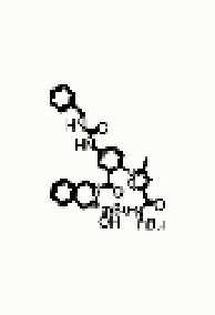 CCCCN(CCCC)C(=O)c1cc(C)n(-c2ccc(NC(=O)NCc3ccccc3)cc2C(=O)N2Cc3ccccc3C[C@H]2CO)n1